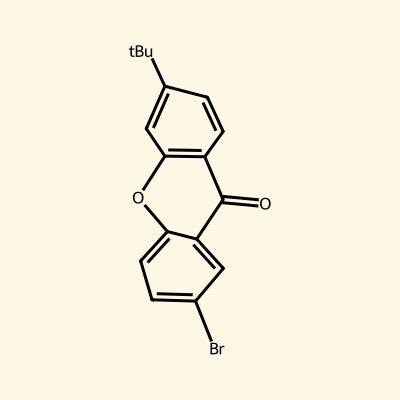 CC(C)(C)c1ccc2c(=O)c3cc(Br)ccc3oc2c1